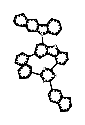 c1ccc(-c2cc(-n3c4ccccc4c4cc5ccccc5cc43)c3oc4cccc(-c5nc(-c6ccccc6)nc(-c6ccc7ccccc7c6)n5)c4c3c2)cc1